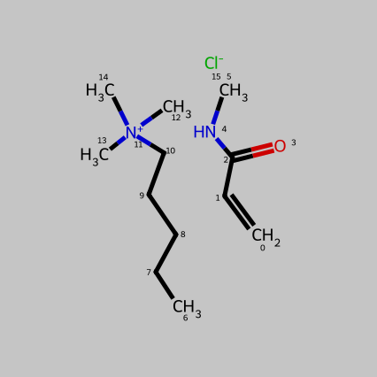 C=CC(=O)NC.CCCCC[N+](C)(C)C.[Cl-]